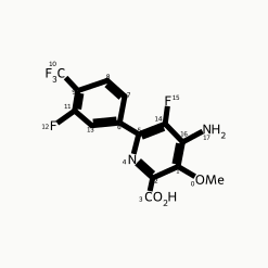 COc1c(C(=O)O)nc(-c2ccc(C(F)(F)F)c(F)c2)c(F)c1N